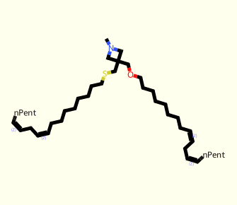 CCCCC/C=C\C/C=C\CCCCCCCCOCC1(CSCCCCCCCC/C=C\C/C=C\CCCCC)CN(C)C1